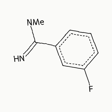 CNC(=N)c1cccc(F)c1